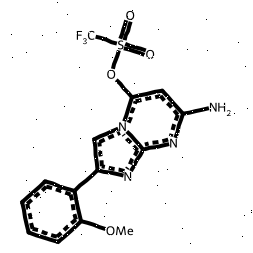 COc1ccccc1-c1cn2c(OS(=O)(=O)C(F)(F)F)cc(N)nc2n1